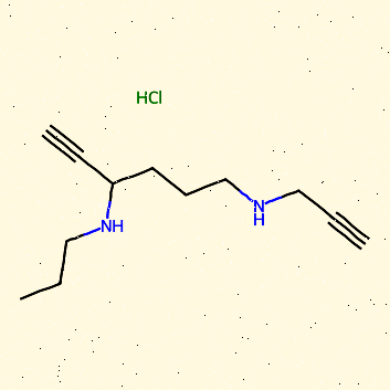 C#CCNCCCC(C#C)NCCC.Cl